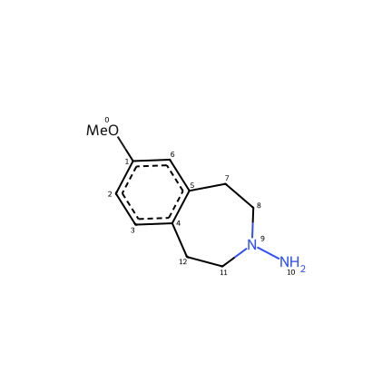 COc1ccc2c(c1)CCN(N)CC2